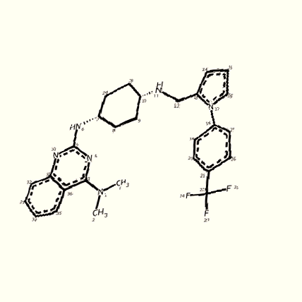 CN(C)c1nc(N[C@H]2CC[C@@H](NCc3cccn3-c3ccc(C(F)(F)F)cc3)CC2)nc2ccccc12